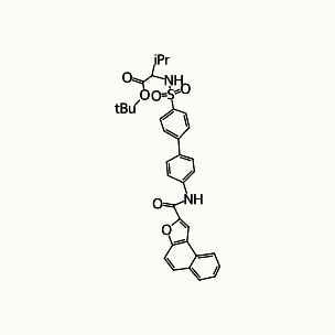 CC(C)C(NS(=O)(=O)c1ccc(-c2ccc(NC(=O)c3cc4c(ccc5ccccc54)o3)cc2)cc1)C(=O)OC(C)(C)C